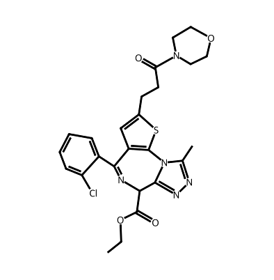 CCOC(=O)C1N=C(c2ccccc2Cl)c2cc(CCC(=O)N3CCOCC3)sc2-n2c(C)nnc21